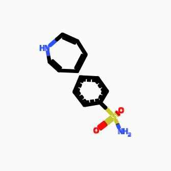 C1=CC=CNC=C1.NS(=O)(=O)c1ccccc1